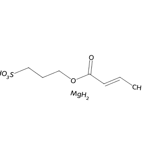 CC=CC(=O)OCCCS(=O)(=O)O.[MgH2]